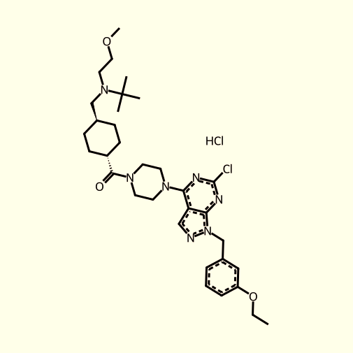 CCOc1cccc(Cn2ncc3c(N4CCN(C(=O)[C@H]5CC[C@H](CN(CCOC)C(C)(C)C)CC5)CC4)nc(Cl)nc32)c1.Cl